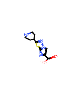 O=C(O)c1cn2nc(C3CCNCC3)sc2n1